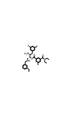 CCc1cccc(CNC[C@@H](OC(=O)c2cc(C)cc(C(=O)N(CC)CC)c2)[C@@H](N)Cc2cc(F)cc(F)c2)c1